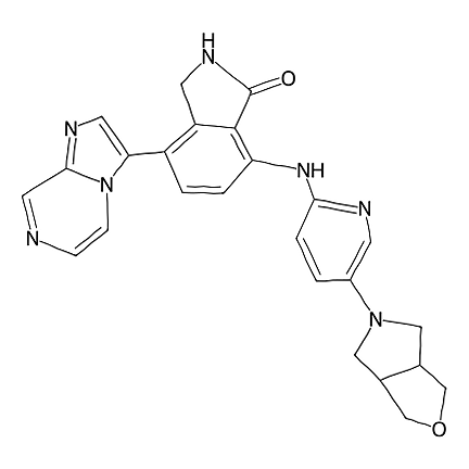 O=C1NCc2c(-c3cnc4cnccn34)ccc(Nc3ccc(N4CC5COCC5C4)cn3)c21